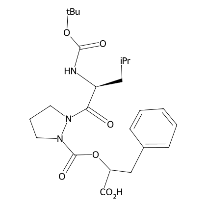 CC(C)C[C@H](NC(=O)OC(C)(C)C)C(=O)N1CCCN1C(=O)OC(Cc1ccccc1)C(=O)O